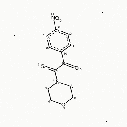 O=C(C(=S)N1CCOCC1)c1ccc([N+](=O)[O-])cc1